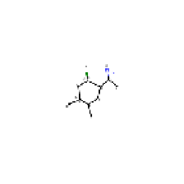 CC(N)C1CC(C)[C@@H](C)C[C@H]1F